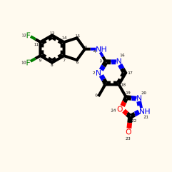 Cc1nc(NC2Cc3cc(F)c(F)cc3C2)ncc1-c1n[nH]c(=O)o1